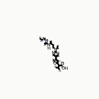 C=C(CCN(CC)c1ncc(-c2cc(C(C(=O)O)C(C)C)on2)cn1)NC(=C)/N=N\CC